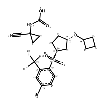 N#CC1(NC(=O)O)CC1.O=S(=O)(c1ccc(Br)cc1C(F)(F)F)[C@H]1CC[C@H](OC2CCC2)C1